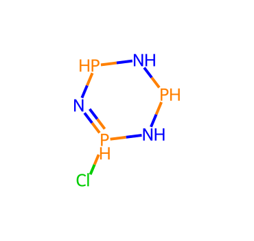 Cl[PH]1=NPNPN1